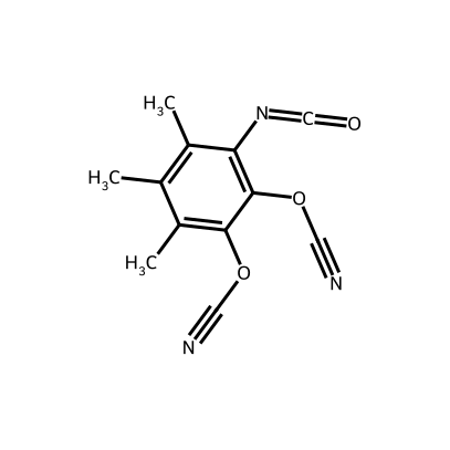 Cc1c(C)c(N=C=O)c(OC#N)c(OC#N)c1C